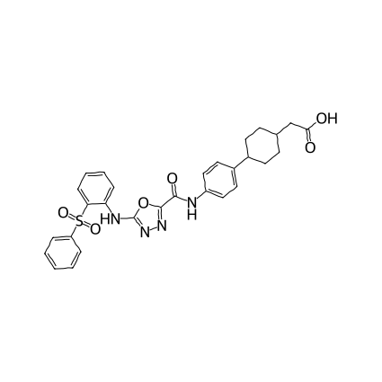 O=C(O)CC1CCC(c2ccc(NC(=O)c3nnc(Nc4ccccc4S(=O)(=O)c4ccccc4)o3)cc2)CC1